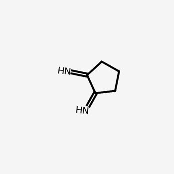 N=C1CCCC1=N